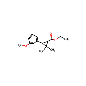 CCOC(=O)C1C(c2cccc(OC)c2)C1(C)C